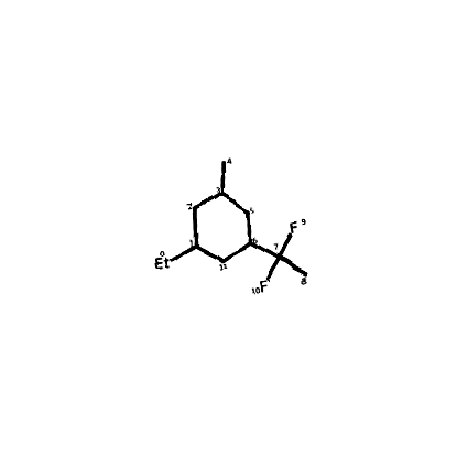 CCC1CC(C)CC(C(C)(F)F)C1